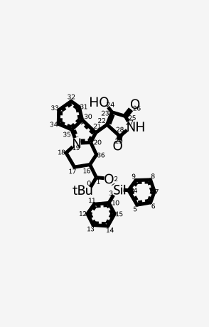 CC(C)(C)C(O[SiH](c1ccccc1)c1ccccc1)C1CCn2c(c(C3=C(O)C(=O)NC3=O)c3ccccc32)C1